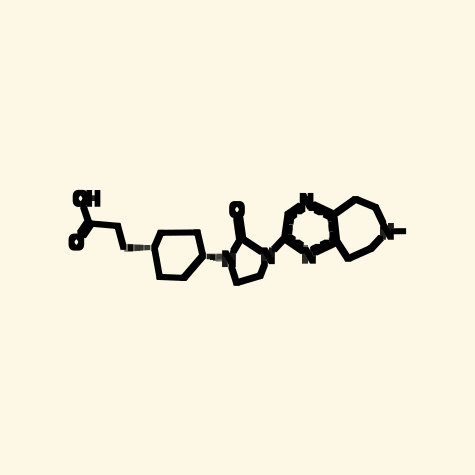 CN1CCc2ncc(N3CCN([C@H]4CC[C@@H](CCC(=O)O)CC4)C3=O)nc2CC1